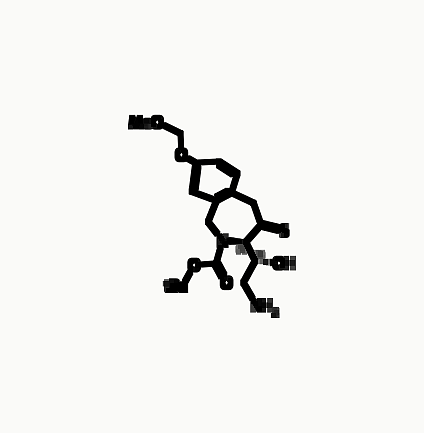 COCOc1ccc2c(c1)CN(C(=O)OC(C)(C)C)[C@H]([C@H](O)CN)C(=S)C2